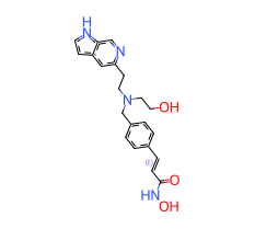 O=C(/C=C/c1ccc(CN(CCO)CCc2cc3cc[nH]c3cn2)cc1)NO